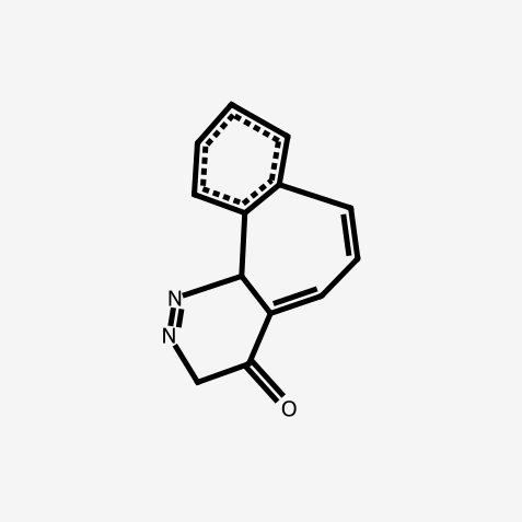 O=C1CN=NC2C1=CC=Cc1ccccc12